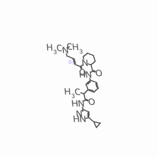 CC(C(=O)Nc1cc(C2CC2)[nH]n1)c1cccc(NC(=O)C2CCCCN2C(=O)/C=C/CN(C)C)c1